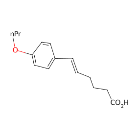 CCCOc1ccc(/C=C/CCCC(=O)O)cc1